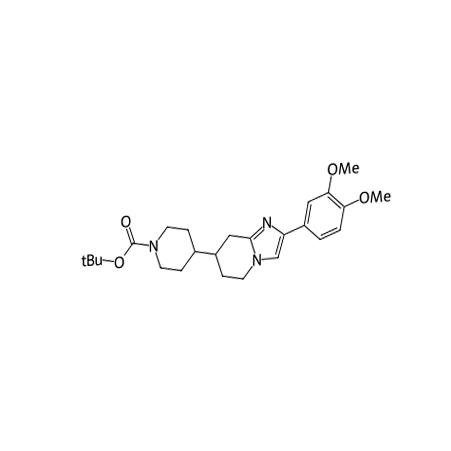 COc1ccc(-c2cn3c(n2)CC(C2CCN(C(=O)OC(C)(C)C)CC2)CC3)cc1OC